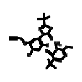 C#CCOc1cc(-n2nc(C(C)(C)C)oc2=O)c(Cl)cc1Cl.CSc1nnc(C(C)(C)C)c(=O)n1N